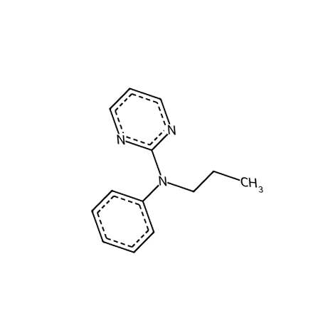 CCCN(c1ccccc1)c1ncccn1